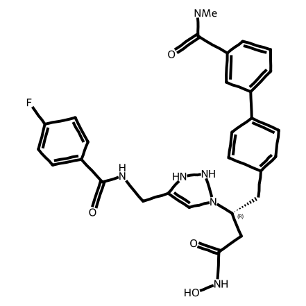 CNC(=O)c1cccc(-c2ccc(C[C@H](CC(=O)NO)N3C=C(CNC(=O)c4ccc(F)cc4)NN3)cc2)c1